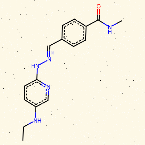 CCNc1ccc(N/N=C/c2ccc(C(=O)NC)cc2)nc1